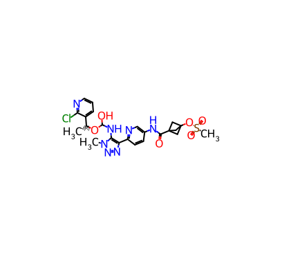 C[C@@H](OC(O)Nc1c(-c2ccc(NC(=O)C34CC(OS(C)(=O)=O)(C3)C4)cn2)nnn1C)c1cccnc1Cl